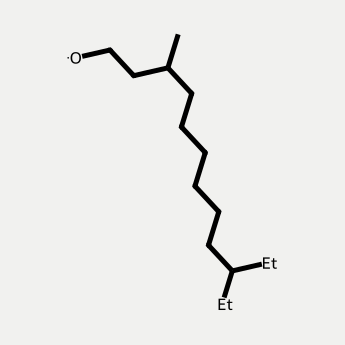 CCC(CC)CCCCCCC(C)CC[O]